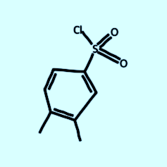 Cc1ccc(S(=O)(=O)Cl)cc1C